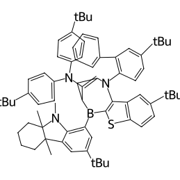 CN1c2c(B3c4sc5ccc(C(C)(C)C)cc5c4N(c4ccc(C(C)(C)C)cc4-c4ccccc4)C4=C(N(c5ccc(C(C)(C)C)cc5)c5ccc(C(C)(C)C)cc5)C3C4)cc(C(C)(C)C)cc2C2(C)CCCCC12C